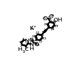 Cc1cccnc1NS(=O)(=O)c1ccc(C#Cc2ccc(O)c(C(=O)[O-])c2)cc1.[K+]